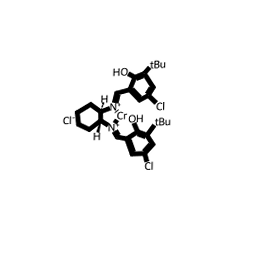 CC(C)(C)c1cc(Cl)cc(C=[N+]2[Cr][N+](=Cc3cc(Cl)cc(C(C)(C)C)c3O)[C@@H]3CCCC[C@H]32)c1O.[Cl-]